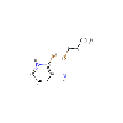 O=C(O)CCSSc1ccccn1.[N]